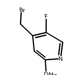 COc1cc(CBr)c(F)cn1